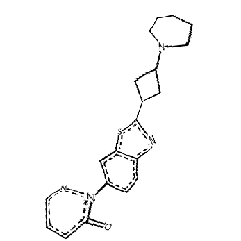 O=c1cccnn1-c1ccc2nc(C3CC(N4CCCCC4)C3)sc2c1